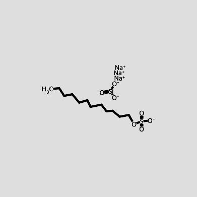 CCCCCCCCCCCCOS(=O)(=O)[O-].O=[Si]([O-])[O-].[Na+].[Na+].[Na+]